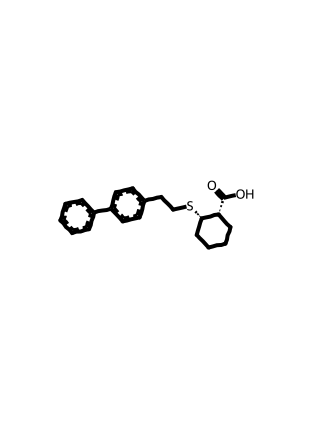 O=C(O)[C@@H]1CCCC[C@@H]1SCCc1ccc(-c2ccccc2)cc1